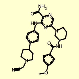 COc1ccc(C(=O)NC2CCCN(c3cnc(C(N)=O)c(Nc4ccc(C5CCN(CC#N)CC5)cc4)n3)C2)cc1